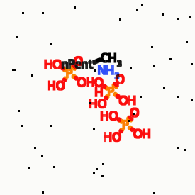 CCCCCC.N.O=P(O)(O)O.O=P(O)(O)O.O=P(O)(O)O